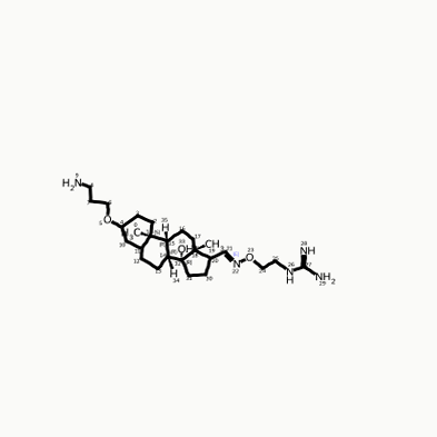 C[C@]12CCC(OCCCN)CC1CC[C@@H]1[C@H]2CC[C@]2(C)C(/C=N/OCCNC(=N)N)CC[C@@]12O